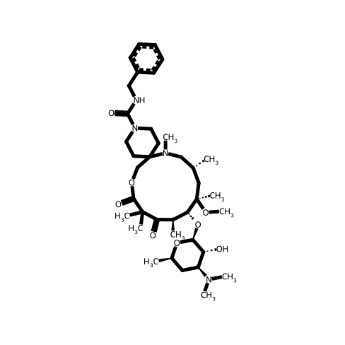 CO[C@]1(C)C[C@@H](C)CN(C)C2(CCN(C(=O)NCc3ccccc3)CC2)COC(=O)C(C)(C)C(=O)[C@H](C)[C@H]1O[C@@H]1O[C@H](C)C[C@H](N(C)C)[C@H]1O